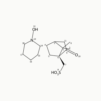 CC1(C)C2CC[C@@]1(CS(=O)(=O)O)C(=O)C2.ON1CCCCC1